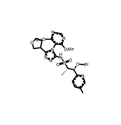 COc1ncnc(OC)c1-n1c(NS(=O)(=O)[C@@H](C)[C@@H](OC(C)C)c2ccc(C)cn2)nnc1C1CCOC1